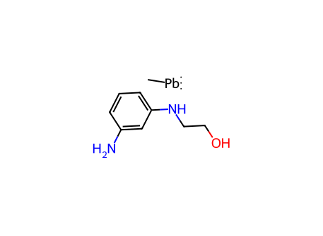 Nc1cccc(NCCO)c1.[CH3][Pb]